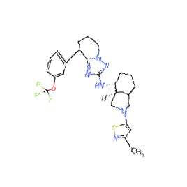 Cc1cc(N2CC3CCC[C@@H](Nc4nc5n(n4)CCCC5c4cccc(OC(F)(F)F)c4)[C@@H]3C2)sn1